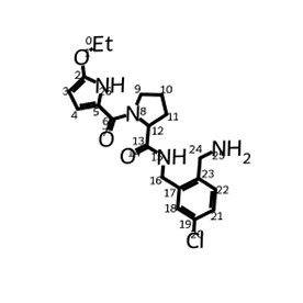 CCOc1ccc(C(=O)N2CCCC2C(=O)NCc2cc(Cl)ccc2CN)[nH]1